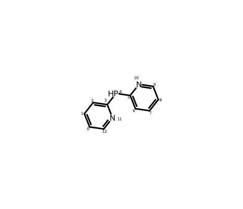 c1ccc(Pc2ccccn2)nc1